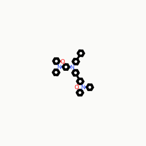 c1ccc(-c2ccc(N(c3ccc(-c4ccc5c(c4)Oc4ccccc4N5c4ccccc4)cc3)c3ccc4c(c3)Oc3ccccc3N4c3ccccc3)cc2)cc1